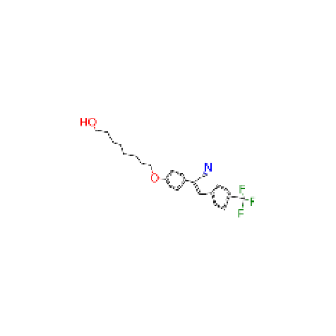 N#CC(=Cc1ccc(C(F)(F)F)cc1)c1ccc(OCCCCCCCCO)cc1